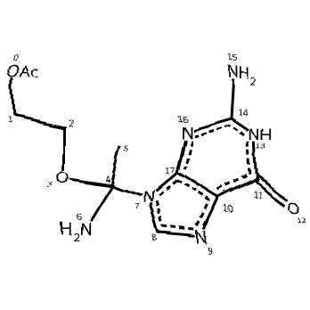 CC(=O)OCCOC(C)(N)n1cnc2c(=O)[nH]c(N)nc21